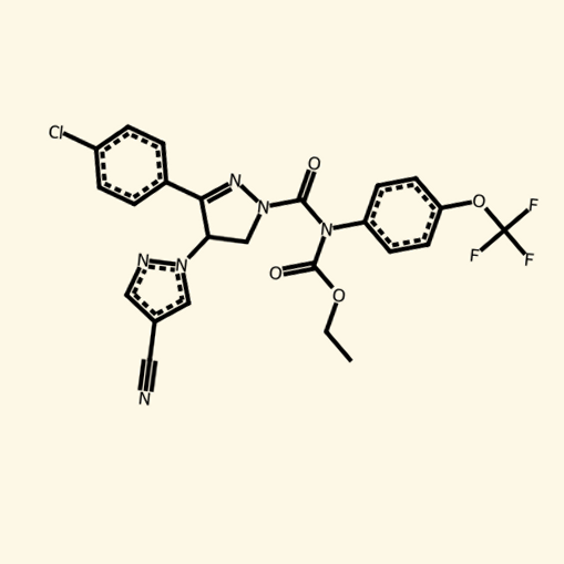 CCOC(=O)N(C(=O)N1CC(n2cc(C#N)cn2)C(c2ccc(Cl)cc2)=N1)c1ccc(OC(F)(F)F)cc1